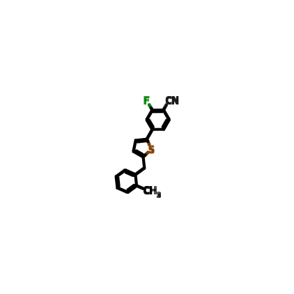 Cc1ccccc1Cc1ccc(-c2ccc(C#N)c(F)c2)s1